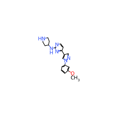 COc1cccc(-n2cc(-c3ccnc(NC4CCNCC4)n3)cn2)c1